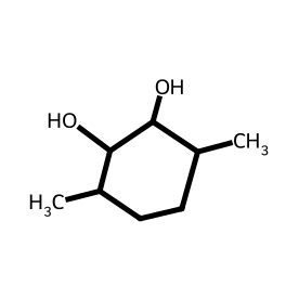 CC1CCC(C)C(O)C1O